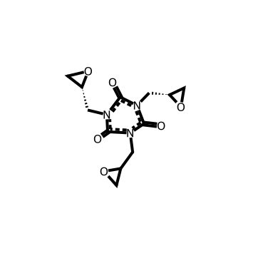 O=c1n(CC2CO2)c(=O)n(C[C@@H]2CO2)c(=O)n1C[C@@H]1CO1